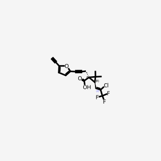 C#Cc1ccc(C#CC[C@@]2(C(=O)O)[C@H](/C=C(\Cl)C(F)(F)F)C2(C)C)o1